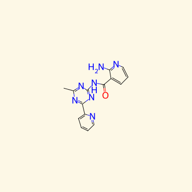 Cc1nc(NC(=O)c2cccnc2N)nc(-c2ccccn2)n1